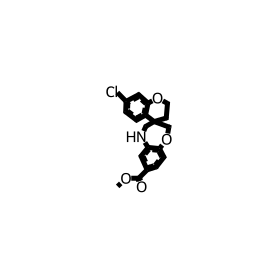 COC(=O)c1ccc2c(c1)NCC1(CCOc3cc(Cl)ccc31)CO2